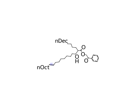 CCCCCCCC/C=C/CCCCCCCC(O)C(CCCCCCCCCCCCCC)C(=O)OCC(=O)c1ccccc1